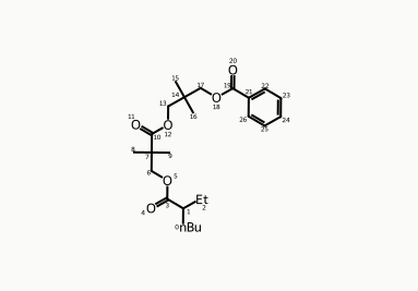 CCCCC(CC)C(=O)OCC(C)(C)C(=O)OCC(C)(C)COC(=O)c1ccccc1